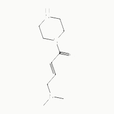 CN(C)C/C=C/C(=O)N1CCNCC1